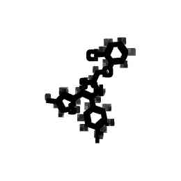 Cc1csc(-c2sc(COc3ccccc3Cl)nc2-c2ccc(F)cc2)c1